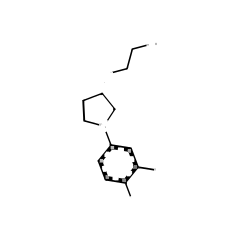 OCCO[C@H]1CCN(c2ccc(Cl)c(F)c2)C1